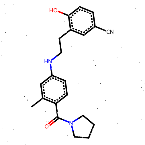 Cc1cc(NCCc2cc(C#N)ccc2O)ccc1C(=O)N1CCCC1